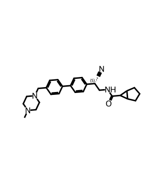 CN1CCN(Cc2ccc(-c3ccc([C@H](C#N)CNC(=O)C4C5CCCC54)cc3)cc2)CC1